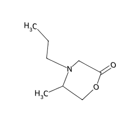 CCCN1CC(=O)OCC1C